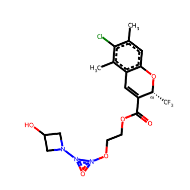 Cc1cc2c(c(C)c1Cl)C=C(C(=O)OCCOn1on1N1CC(O)C1)[C@@H](C(F)(F)F)O2